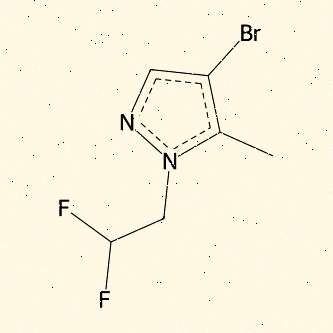 Cc1c(Br)cnn1CC(F)F